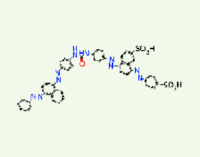 O=C(Nc1ccc(N=Nc2ccc(N=Nc3ccccc3)c3ccccc23)cc1)Nc1ccc(N=Nc2ccc(N=Nc3ccc(S(=O)(=O)O)cc3)c3cc(S(=O)(=O)O)ccc23)cc1